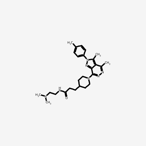 Cc1ccc(-n2nc3c(N4CCC(CCC(=O)NCCN(C)C)CC4)nnc(C)c3c2C)cc1